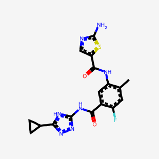 Cc1cc(F)c(C(=O)Nc2nnc(C3CC3)[nH]2)cc1NC(=O)c1cnc(N)s1